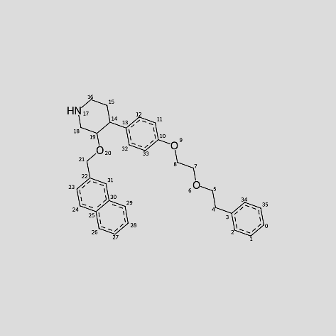 c1ccc(CCOCCOc2ccc(C3CCNCC3OCc3ccc4ccccc4c3)cc2)cc1